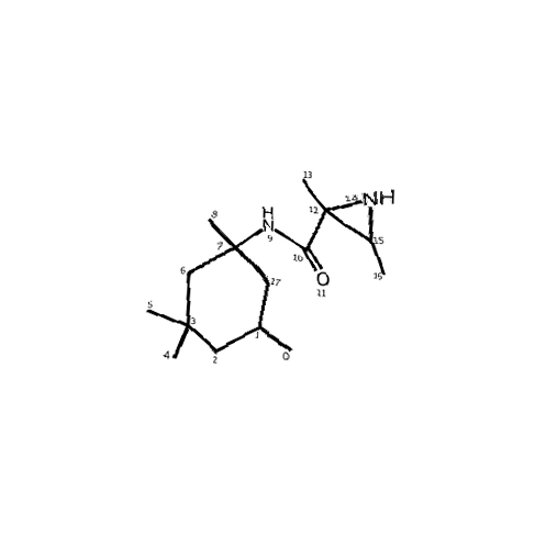 CC1CC(C)(C)CC(C)(NC(=O)C2(C)NC2C)C1